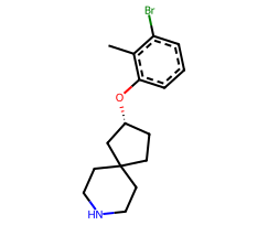 Cc1c(Br)cccc1O[C@@H]1CCC2(CCNCC2)C1